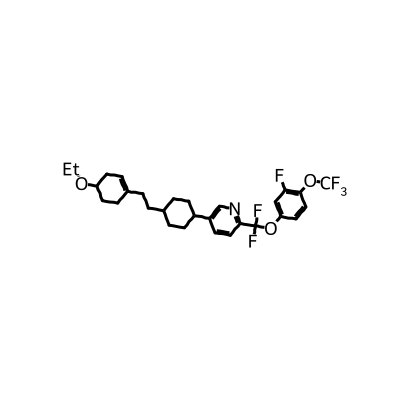 CCOC1CC=C(CCC2CCC(c3ccc(C(F)(F)Oc4ccc(OC(F)(F)F)c(F)c4)nc3)CC2)CC1